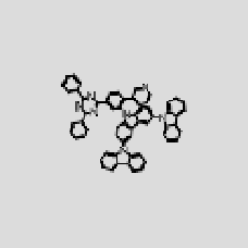 c1ccc(-c2nc(-c3ccccc3)nc(-c3ccc(-c4cccnc4)c(-n4c5ccc(-n6c7ccccc7c7ccccc76)cc5c5cc(-n6c7ccccc7c7ccccc76)ccc54)c3)n2)cc1